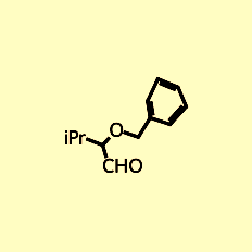 CC(C)C(C=O)OCc1ccccc1